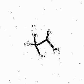 CCC(N)C(O)(O)O.I